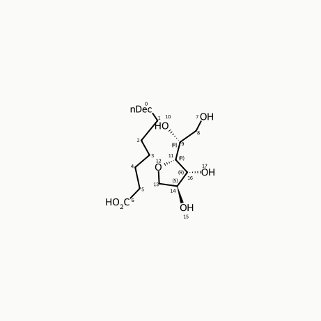 CCCCCCCCCCCCCCCC(=O)O.OC[C@@H](O)[C@H]1OC[C@H](O)[C@H]1O